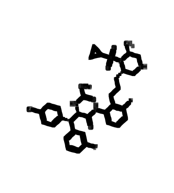 COC(=O)N[C@H](C(=O)Nc1cccc(F)c1CCC[C@H]1CNC[C@H](C)N1S(=O)(=O)C1CC1)[C@@H](c1ccc(Cl)cc1)c1cccc(F)c1